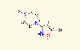 CN1CCN(c2cc(I)on2)CC1